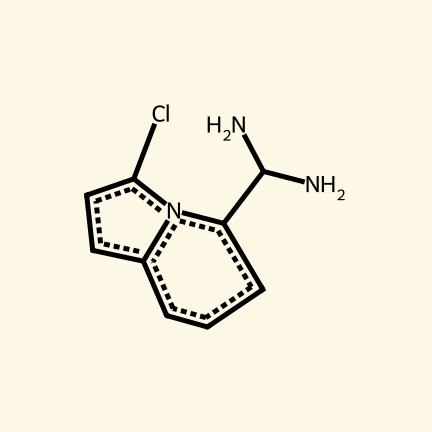 NC(N)c1cccc2ccc(Cl)n12